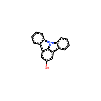 Oc1cc2c3ccccc3n3c4ccccc4c(c1)c23